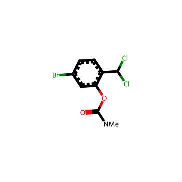 CNC(=O)Oc1cc(Br)ccc1C(Cl)Cl